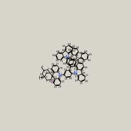 CC1CC2C[C@@H](C1)C[C@@H](I)C21c2ccccc2N(c2ccc(-n3c4ccccc4c4ccc([Si](c5ccccc5)(c5ccccc5)c5ccccc5)cc43)c(-c3cccc(-n4c5ccccc5c5ccccc54)c3)c2)c2ccccc21